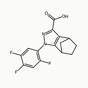 O=C(O)c1nn(-c2cc(F)c(F)cc2F)c2c1C1CCC2C1